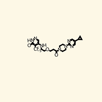 C[C@@H](COCCC(=O)N1CCN(c2ncc(C3CC3)cn2)CC1)Nc1cn[nH]c(=O)c1C(F)(F)F